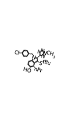 CCCc1c(O)ccc2c1c(SC(C)(C)C)c(-c1nnn(C)n1)n2Cc1ccc(Cl)cc1